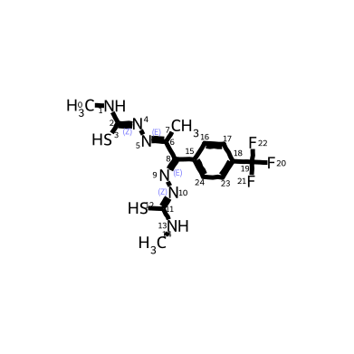 CN/C(S)=N/N=C(C)/C(=N/N=C(\S)NC)c1ccc(C(F)(F)F)cc1